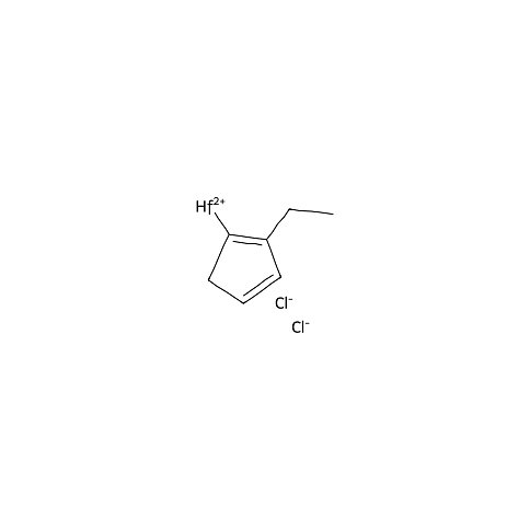 CCC1=[C]([Hf+2])CC=C1.[Cl-].[Cl-]